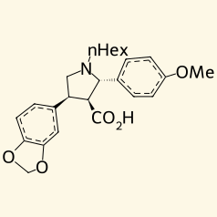 CCCCCCN1C[C@H](c2ccc3c(c2)OCO3)[C@H](C(=O)O)[C@H]1c1ccc(OC)cc1